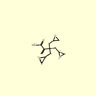 C=C(C(=O)O)C(CC1CO1)(CC1CO1)CC1CO1